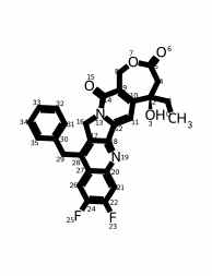 CC[C@@]1(O)CC(=O)OCc2c1cc1n(c2=O)Cc2c-1nc1cc(F)c(F)cc1c2Cc1ccccc1